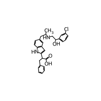 CC(Cc1ccc2[nH]c(C(Cc3ccccc3)C(=O)O)cc2c1)NCC(O)c1cccc(Cl)c1